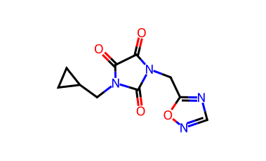 O=C1C(=O)N(CC2CC2)C(=O)N1Cc1ncno1